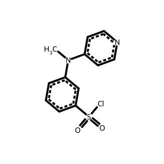 CN(c1ccncc1)c1cccc(S(=O)(=O)Cl)c1